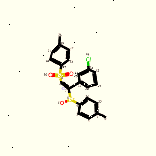 Cc1ccc([S+]([O-])/C(=C/S(=O)(=O)c2ccc(C)cc2)c2cccc(Cl)c2)cc1